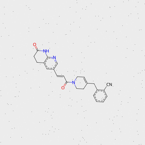 N#Cc1ccccc1CC1=CCN(C(=O)/C=C/c2cnc3c(c2)CCC(=O)N3)CC1